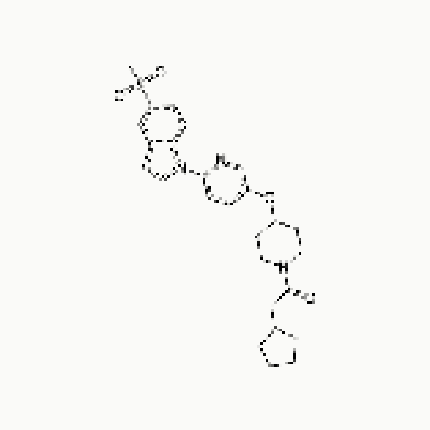 CS(=O)(=O)c1ccc2c(ccn2-c2ccc(OC3CCN(C(=O)CC4CCCC4)CC3)cn2)c1